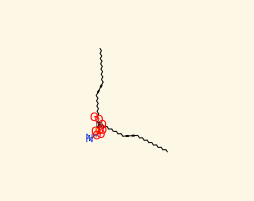 CCCCCCCCCCCCCCC#CC#CCCCCCCCCC(=O)OC[C@H](COP(=O)([O-])OCC[N+](C)(C)C)OC(=O)CCCCCCCCC#CC#CCCCCCCCCCCCCCC